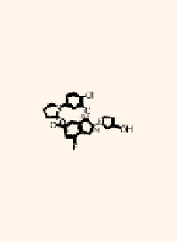 O=C1CCCN1c1ccc(Cl)c(O[C@H]2c3cc(Cl)cc(F)c3C[C@@H]2N2CCC(O)C2)c1